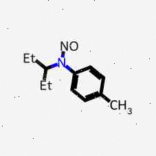 CCC(CC)N(N=O)c1ccc(C)cc1